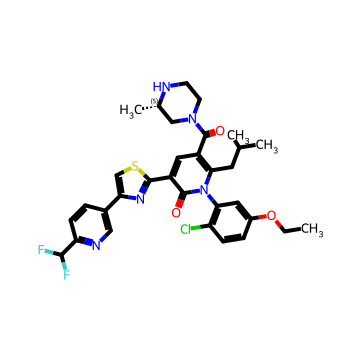 CCOc1ccc(Cl)c(-n2c(CC(C)C)c(C(=O)N3CCN[C@@H](C)C3)cc(-c3nc(-c4ccc(C(F)F)nc4)cs3)c2=O)c1